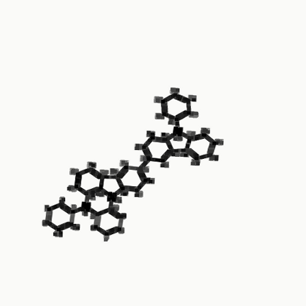 c1ccc(N2c3ccccc3-n3c4ccc(-c5ccc6c(c5)c5ccccc5n6-c5ccccc5)cc4c4cccc2c43)cc1